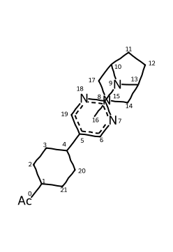 CC(=O)C1CCC(c2cnc(N3C4CCC3CN(C)C4)nc2)CC1